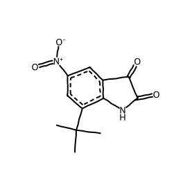 CC(C)(C)c1cc([N+](=O)[O-])cc2c1NC(=O)C2=O